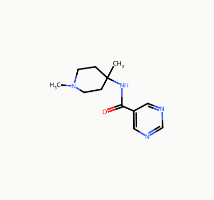 CN1CCC(C)(NC(=O)c2cncnc2)CC1